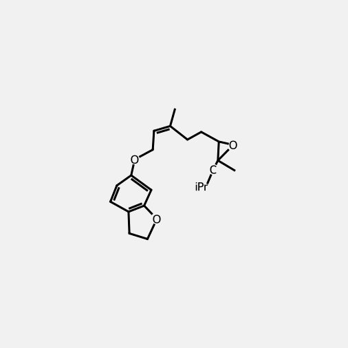 CC(=CCOc1ccc2c(c1)OCC2)CCC1OC1(C)CC(C)C